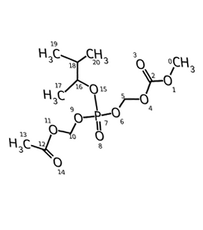 COC(=O)OCOP(=O)(OCOC(C)=O)OC(C)C(C)C